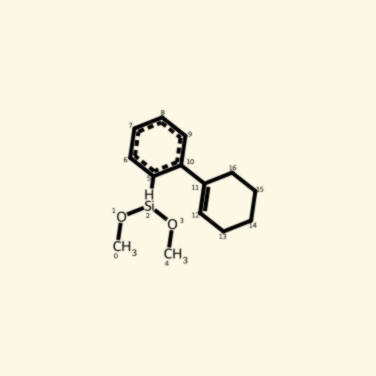 CO[SiH](OC)c1ccccc1C1=CCCCC1